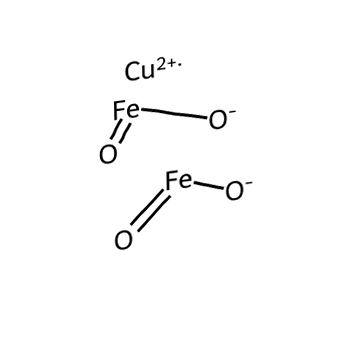 [Cu+2].[O]=[Fe][O-].[O]=[Fe][O-]